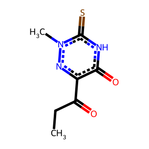 CCC(=O)c1nn(C)c(=S)[nH]c1=O